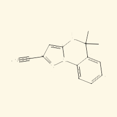 CC1(C)Nc2cc(C#N)nn2-c2ccccc21